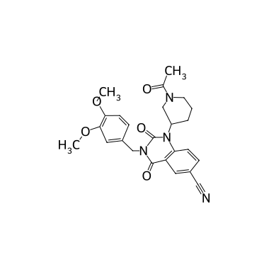 COc1ccc(Cn2c(=O)c3cc(C#N)ccc3n(C3CCCN(C(C)=O)C3)c2=O)cc1OC